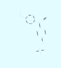 CN(C)c1ccc(C(C#N)=C2C=CC(=NOS(C)(=O)=O)C=C2)cc1